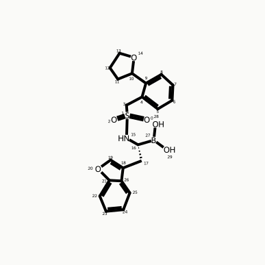 O=S(=O)(Cc1ccccc1C1CCCO1)N[C@@H](Cc1coc2ccccc12)B(O)O